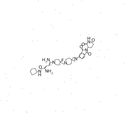 N/C(=C\C=C(/N)N1CCC(F)(CN2CCC3(CC2)CN(c2ccc4c(c2)C(=O)N(C2CCC(=O)NC2=O)C4=O)C3)CC1)C(=O)NC1CCCCC1